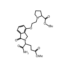 COC(=O)CCC(C(N)=O)N1Cc2c(OCCN3CCCC3C(=O)OC(C)(C)C)cccc2C1=O